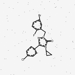 O=c1n(Cc2cc(Br)ccc2F)nc(-c2ccc(Cl)cc2)n1C1CC1